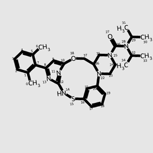 Cc1cccc(C)c1-c1cc2nc(n1)NSc1cccc(c1)N1CCN(C(=O)N(C(C)C)C(C)C)CC1CO2